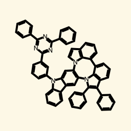 c1ccc(-c2nc(-c3ccccc3)nc(-c3cccc(-n4c5ccccc5c5cc6c(cc54)n4ccc5cccc(c7cccc8c(-c9ccccc9)c(-c9ccccc9)n6c87)c54)c3)n2)cc1